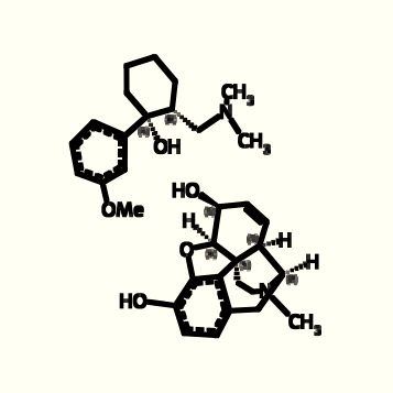 CN1CC[C@]23c4c5ccc(O)c4O[C@H]2[C@@H](O)C=C[C@H]3[C@H]1C5.COc1cccc([C@@]2(O)CCCC[C@@H]2CN(C)C)c1